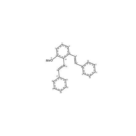 COc1cccc(C=Cc2ccccc2)c1N=Cc1ccccc1